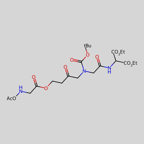 CCOC(=O)C(NC(=O)CN(CC(=O)CCOC(=O)CNOC(C)=O)C(=O)OC(C)(C)C)C(=O)OCC